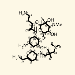 CN[C@@H]1[C@@H](O)[C@@H](O[C@H]2[C@H](NC(=O)[C@@H](O)CCN)C[C@H](N)C([C@H]3OC(CN)=CC[C@H]3NCC(C)(C)CN(C)C)[C@@H]2O)OC[C@]1(C)O